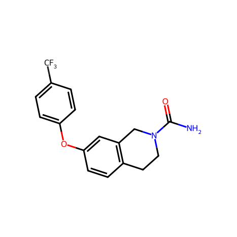 NC(=O)N1CCc2ccc(Oc3ccc(C(F)(F)F)cc3)cc2C1